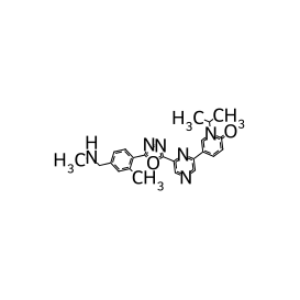 CNCc1ccc(-c2nnc(-c3cncc(-c4ccc(=O)n(C(C)C)c4)n3)o2)c(C)c1